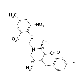 Cc1cc([N+](=O)[O-])c(OCN2C[C@@H](C)N(Cc3ccc(F)cc3)C(=C=O)[C@@H]2C)c([N+](=O)[O-])c1